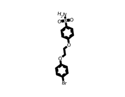 NS(=O)(=O)c1ccc(OCCOc2ccc(Br)cc2)cc1